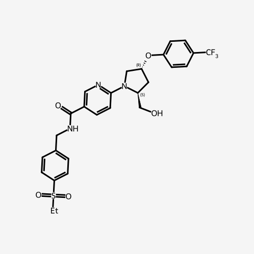 CCS(=O)(=O)c1ccc(CNC(=O)c2ccc(N3C[C@H](Oc4ccc(C(F)(F)F)cc4)C[C@H]3CO)nc2)cc1